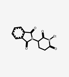 CCN1C(=O)CCC(N2C(=O)c3ccccc3C2=O)C1=O